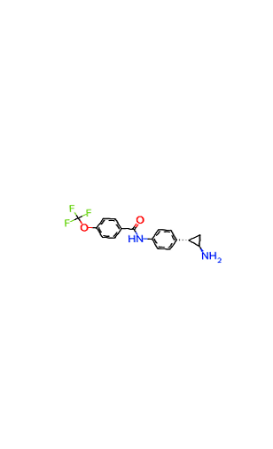 N[C@@H]1C[C@H]1c1ccc(NC(=O)c2ccc(OC(F)(F)F)cc2)cc1